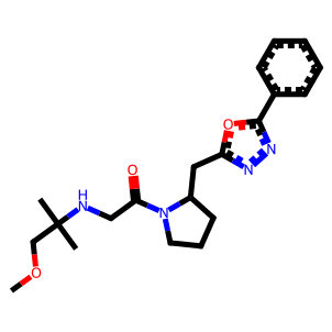 COCC(C)(C)NCC(=O)N1CCCC1Cc1nnc(-c2ccccc2)o1